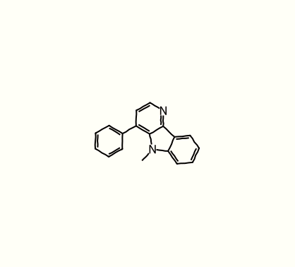 Cn1c2ccccc2c2nccc(-c3ccccc3)c21